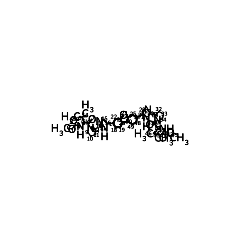 COC(=O)N[C@H](C(=O)N1CCC[C@H]1c1ncc(-c2ccc3c(c2)oc2cc(-c4cnc([C@@H]5CCCN5C(=O)[C@@H](NC(=O)OC)C(C)C)[nH]4)ccc23)[nH]1)C(C)C